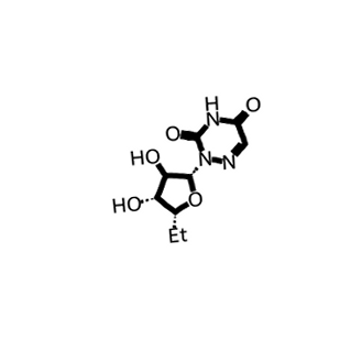 CC[C@H]1O[C@@H](n2ncc(=O)[nH]c2=O)C(O)[C@H]1O